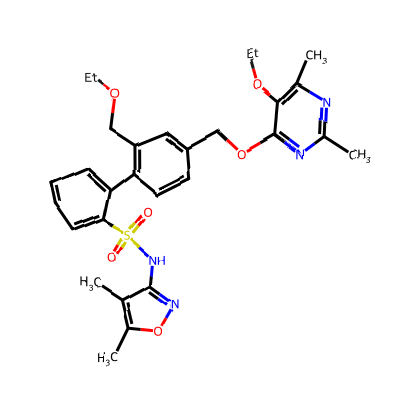 CCOCc1cc(COc2nc(C)nc(C)c2OCC)ccc1-c1ccccc1S(=O)(=O)Nc1noc(C)c1C